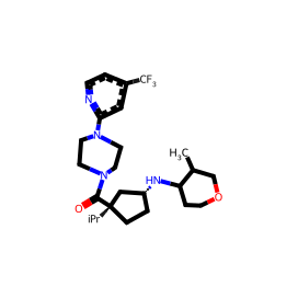 CC1COCCC1N[C@@H]1CC[C@@](C(=O)N2CCN(c3cc(C(F)(F)F)ccn3)CC2)(C(C)C)C1